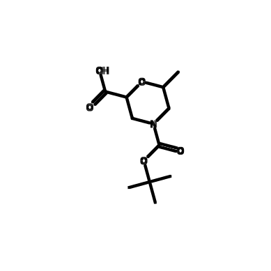 CC1CN(C(=O)OC(C)(C)C)CC(C(=O)O)O1